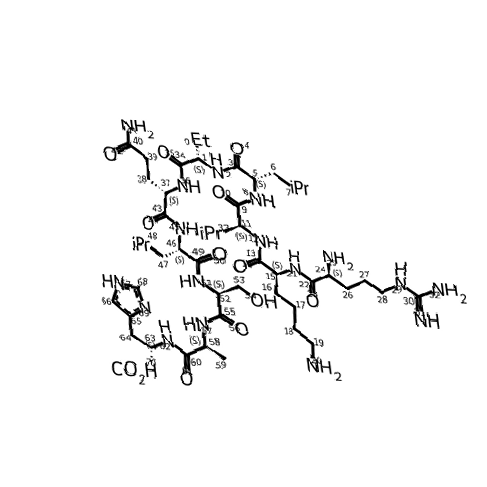 CC[C@H](NC(=O)[C@H](CC(C)C)NC(=O)[C@@H](NC(=O)[C@H](CCCCN)NC(=O)[C@@H](N)CCCNC(=N)N)C(C)C)C(=O)N[C@@H](CCC(N)=O)C(=O)N[C@@H](CC(C)C)C(=O)N[C@@H](CO)C(=O)N[C@@H](C)C(=O)N[C@@H](Cc1c[nH]cn1)C(=O)O